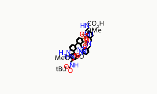 COc1ccc(CN(Cc2ccc(OC)cc2)S(=O)(=O)c2c(S(=O)(=O)NCCNC(=O)O)ccc(-c3ccc(N)c(C(=O)NCCNC(=O)OC(C)(C)C)c3)c2-c2nnn(Cc3ccc(OC)cc3)n2)cc1